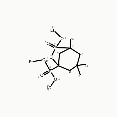 CCOP1(=O)OC2(P(=O)(OCC)OCC)CC(C)(C)CC1(C)C2